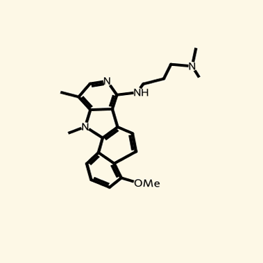 COc1cccc2c1ccc1c3c(NCCCN(C)C)ncc(C)c3n(C)c21